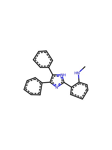 CNc1ccccc1-c1nc(-c2ccccc2)c(-c2ccccc2)[nH]1